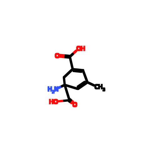 CC1=CC(N)(C(=O)O)CC(C(=O)O)=C1